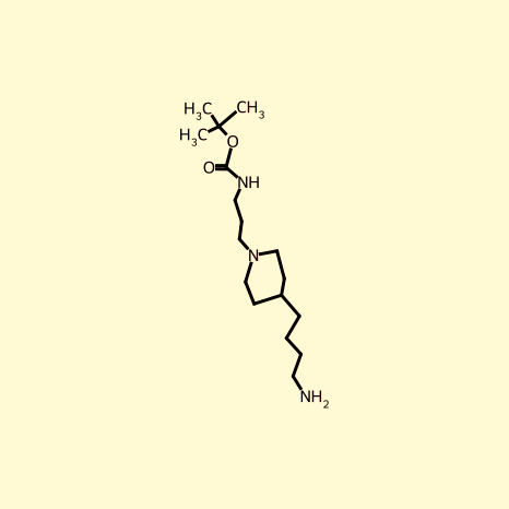 CC(C)(C)OC(=O)NCCCN1CCC(CCCCN)CC1